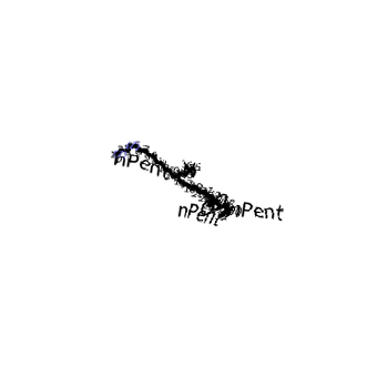 CCCCC/C=C\C/C=C\CCCCCCCCCC(CCCCCCCCC(=O)OCCC(CCCCC)CCCCC)CCN(C)C